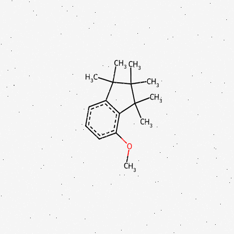 COc1cccc2c1C(C)(C)C(C)(C)C2(C)C